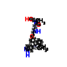 CC/C(=C(/c1ccc(OCCNC/C=C/C(=O)N(C)CCO)cc1)c1ccc2[nH]ncc2c1)c1ccccc1C